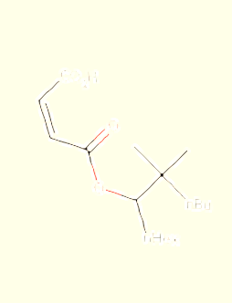 CCCCCCC(OC(=O)/C=C\C(=O)O)C(C)(C)CCCC